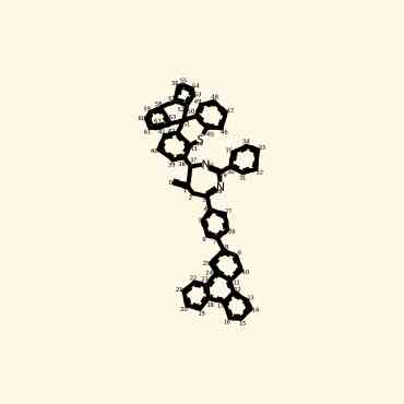 C=C1CC(c2ccc(-c3ccc4c5ccccc5c5ccccc5c4c3)cc2)=NC(c2ccccc2)=NC1c1cccc2c1Sc1ccccc1C21c2ccccc2-c2ccccc21